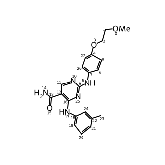 COCCOc1ccc(Nc2ncc(C(N)=O)c(Nc3cccc(C)c3)n2)cc1